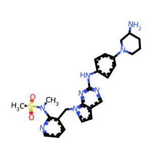 CN(c1ncccc1Cn1ccc2cnc(Nc3ccc(N4CCCC(N)C4)cc3)nc21)S(C)(=O)=O